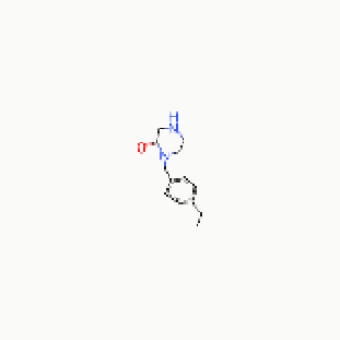 CCc1ccc(CN2CCNCC2=O)cc1